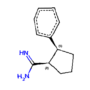 N=C(N)[C@@H]1CCC[C@@H]1c1ccccc1